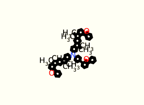 CC1(C)c2cc(N(c3ccc(-c4cccc5c4oc4ccccc45)cc3)c3ccc4c(c3)C(C)(C)c3cc5c(cc3-4)C(C)(C)c3ccc4oc6ccccc6c4c3-5)ccc2-c2cc3c(cc21)-c1c(ccc2oc4ccccc4c12)C3(C)C